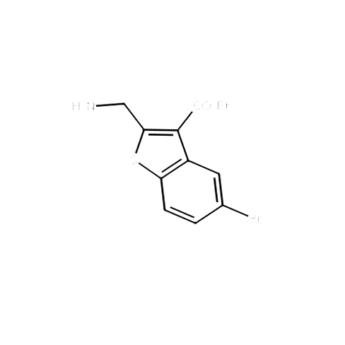 CCOC(=O)c1c(CN)sc2ccc(Br)cc12